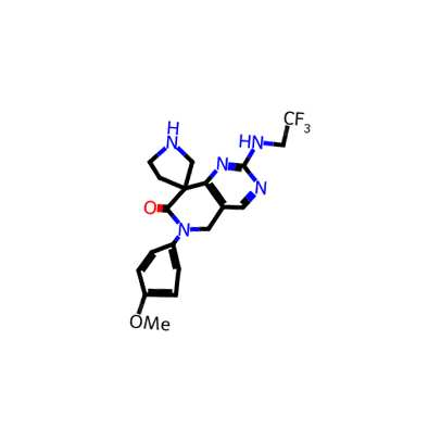 COc1ccc(N2Cc3cnc(NCC(F)(F)F)nc3C3(CCNC3)C2=O)cc1